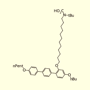 CCCCCOc1ccc(-c2ccc(-c3ccc(OCCCC)cc3OCCCCCCCCCCCCN(C(=O)O)C(C)(C)C)cc2)cc1